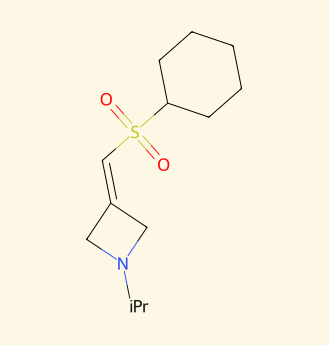 CC(C)N1CC(=CS(=O)(=O)C2CCCCC2)C1